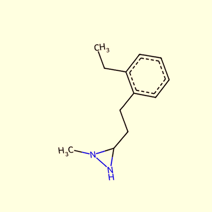 CCc1ccccc1CCC1NN1C